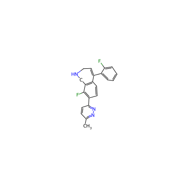 Cc1ccc(-c2ccc3c(c2F)CNCC=C3c2ccccc2F)nn1